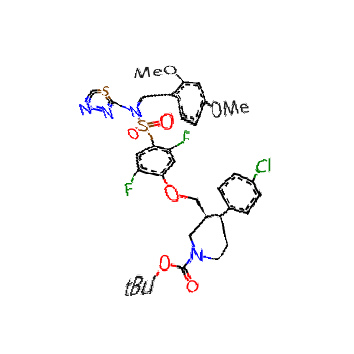 COc1ccc(CN(c2nncs2)S(=O)(=O)c2cc(F)c(OC[C@@H]3CN(C(=O)OC(C)(C)C)CCC3c3ccc(Cl)cc3)cc2F)c(OC)c1